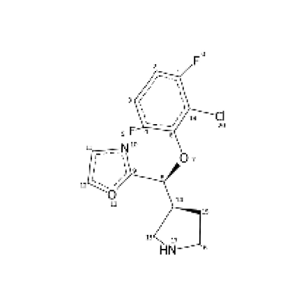 Fc1ccc(F)c(O[C@H](c2ncco2)[C@H]2CCNC2)c1Cl